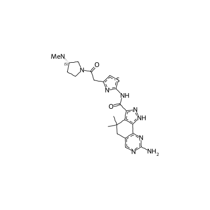 CN[C@H]1CCN(C(=O)Cc2csc(NC(=O)c3n[nH]c4c3C(C)(C)Cc3cnc(N)nc3-4)n2)C1